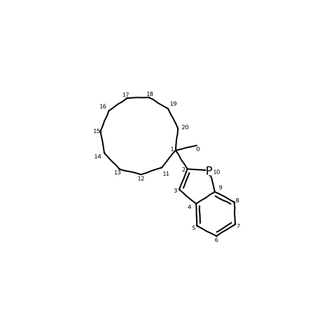 CC1(C2=Cc3ccccc3[P]2)CCCCCCCCCC1